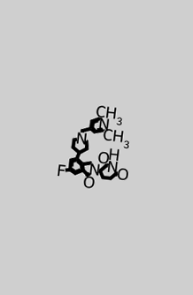 Cc1cc(CN2CCC(c3cc(F)cc4c3CN(C3CCC(=O)NC3=O)C4=O)CC2)cc(C)n1